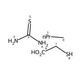 CCCC.NC(N)=S.O=C(O)CS